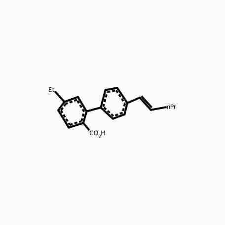 CCCC=Cc1ccc(-c2cc(CC)ccc2C(=O)O)cc1